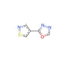 [c]1nscc1-c1nnco1